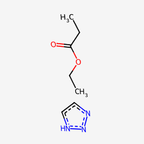 CCOC(=O)CC.c1c[nH]nn1